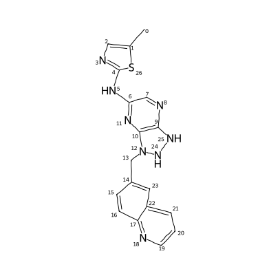 Cc1cnc(Nc2cnc3c(n2)N(Cc2ccc4ncccc4c2)NN3)s1